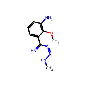 CN/N=N\C(=N)c1cccc(N)c1OC